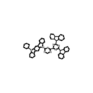 C1=CC2c3ccccc3C(c3nc(-c4ncnc(-n5c6ccccc6c6cc7c(cc65)c5ccccc5n7-c5ccccc5)n4)nc(C4c5ccccc5-c5ccccc54)n3)C2C=C1